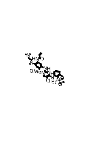 C=CC(=O)Nc1cc(Nc2ncc(Cl)c(Nc3cccc(C)c3N(CC)S(C)(=O)=O)n2)c(OC)cc1N(C)CCN(C)C